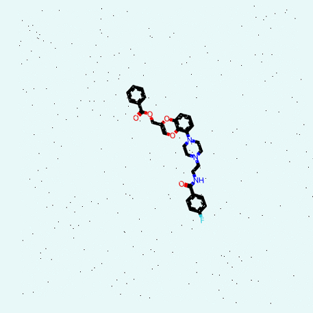 O=C(NCCN1CCN(c2cccc3c2OC=C(COC(=O)c2ccccc2)O3)CC1)c1ccc(F)cc1